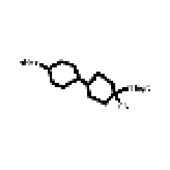 CCCCCCCC1(C#N)CCC(C2CCC(CCCCCC)CC2)CC1